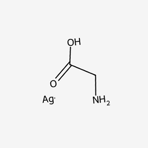 NCC(=O)O.[Ag]